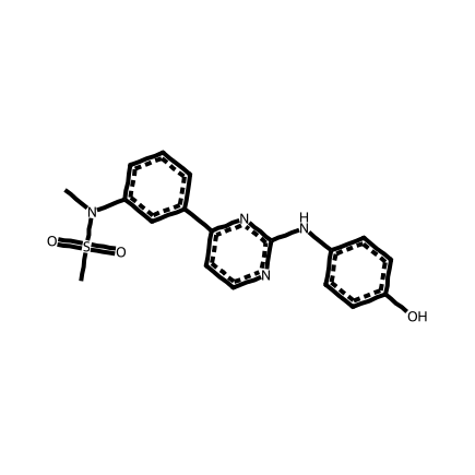 CN(c1cccc(-c2ccnc(Nc3ccc(O)cc3)n2)c1)S(C)(=O)=O